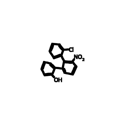 O=[N+]([O-])c1cccc(-c2ccccc2O)c1-c1ccccc1Cl